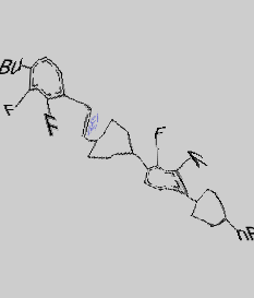 CCCCc1ccc(/C=C/C2CCC(c3ccc(C4CCC(CCC)CC4)c(F)c3F)CC2)c(F)c1F